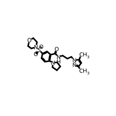 Cc1cc(C)n(CCCNC(=O)c2cc(S(=O)(=O)N3CCOCC3)ccc2N2CCCC2)n1